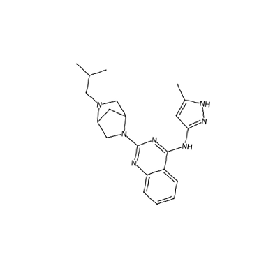 Cc1cc(Nc2nc(N3CC4CC3CN4CC(C)C)nc3ccccc23)n[nH]1